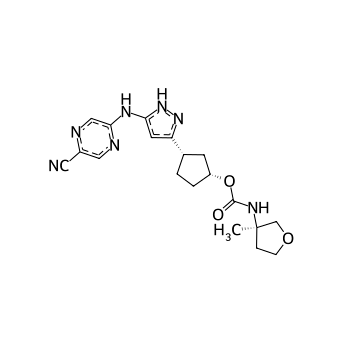 C[C@@]1(NC(=O)O[C@@H]2CC[C@H](c3cc(Nc4cnc(C#N)cn4)[nH]n3)C2)CCOC1